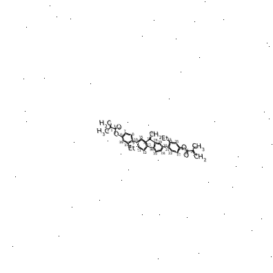 C=C(C)C(=O)Oc1ccc(-c2ccc3c(c2)C(=C)c2cc(-c4ccc(OC(=O)C(=C)C)cc4CC)ccc2-3)c(CC)c1